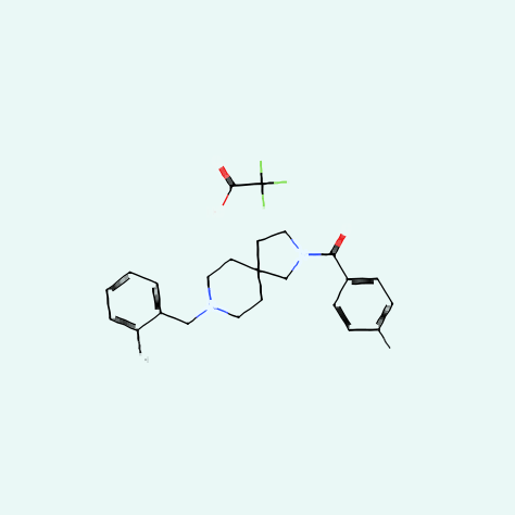 CC(C)COc1ccccc1CN1CCC2(CC1)CCN(C(=O)c1ccc(C(F)(F)F)cc1)C2.O=C(O)C(F)(F)F